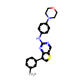 O=C(O)c1cccc(-c2csc3cnc(Nc4ccc(N5CCOCC5)cc4)nc23)c1